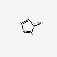 [2H]n1ccnc1